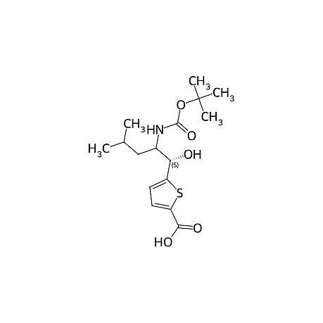 CC(C)CC(NC(=O)OC(C)(C)C)[C@H](O)c1ccc(C(=O)O)s1